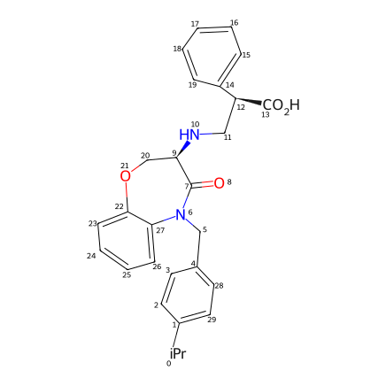 CC(C)c1ccc(CN2C(=O)[C@H](NC[C@H](C(=O)O)c3ccccc3)COc3ccccc32)cc1